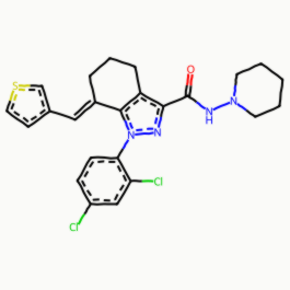 O=C(NN1CCCCC1)c1nn(-c2ccc(Cl)cc2Cl)c2c1CCC/C2=C\c1ccsc1